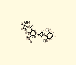 CC(C)c1cc(C2CN(c3c(Cl)cccc3Cl)C2)cc(C(C)C)c1CN1CC(C)(O)C1